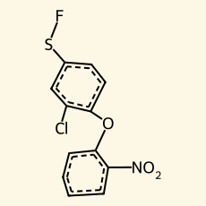 O=[N+]([O-])c1ccccc1Oc1ccc(SF)cc1Cl